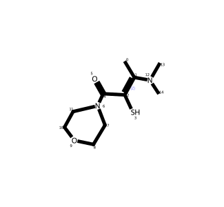 C/C(=C(/S)C(=O)N1CCOCC1)N(C)C